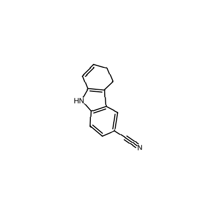 N#Cc1ccc2[nH]c3c(c2c1)CCC=C3